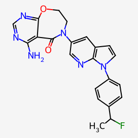 CC(F)c1ccc(-n2ccc3cc(N4CCOc5ncnc(N)c5C4=O)cnc32)cc1